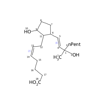 CCCCCC(C)(O)/C=C/C1CCC(O)C1C/C=C\CCCC(=O)O